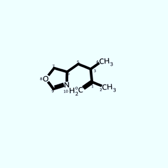 C=C(C)C(C)CC1COC=N1